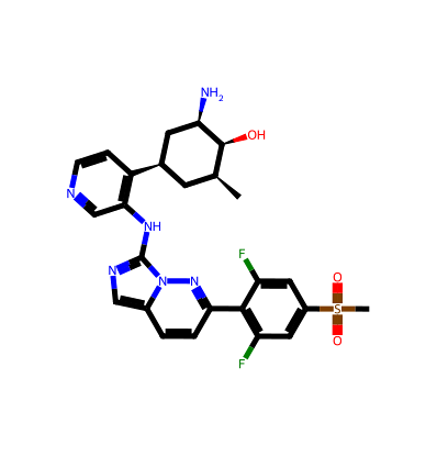 C[C@H]1C[C@@H](c2ccncc2Nc2ncc3ccc(-c4c(F)cc(S(C)(=O)=O)cc4F)nn23)C[C@@H](N)[C@H]1O